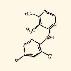 Cc1ncnc(Nc2ccc(Cl)cc2Cl)c1C